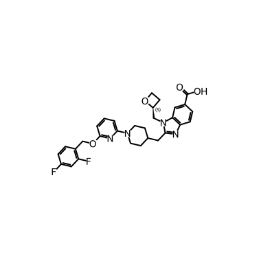 O=C(O)c1ccc2nc(CC3CCN(c4cccc(OCc5ccc(F)cc5F)n4)CC3)n(C[C@@H]3CCO3)c2c1